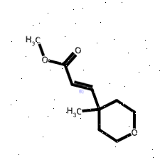 COC(=O)/C=C/C1(C)CCOCC1